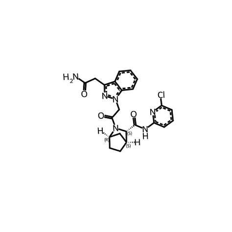 NC(=O)Cc1nn(CC(=O)N2[C@@H]3CC[C@@H](C3)[C@H]2C(=O)Nc2cccc(Cl)n2)c2ccccc12